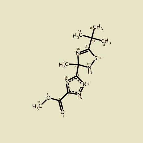 COC(=O)c1nnc(C2(C)N=C(C(C)(C)C)SN2)s1